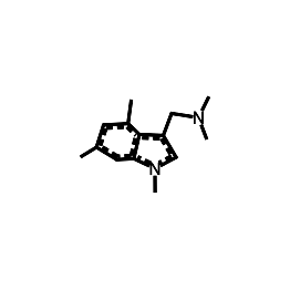 Cc1cc(C)c2c(CN(C)C)cn(C)c2c1